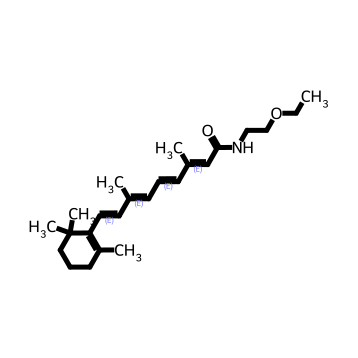 CCOCCNC(=O)/C=C(C)/C=C/C=C(C)/C=C/C1=C(C)CCCC1(C)C